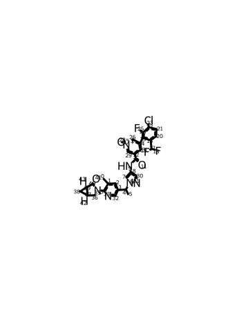 Cc1cc(C(C)n2cc(NC(=O)c3cc(-c4c(C(F)F)ccc(Cl)c4F)c[n+]([O-])c3)cn2)cnc1N1C[C@H]2C[C@H]2C1=O